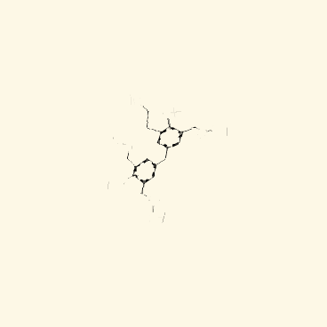 COCc1cc(Cc2cc(COC)c(O)c(COC)c2)cc(CCO)c1O